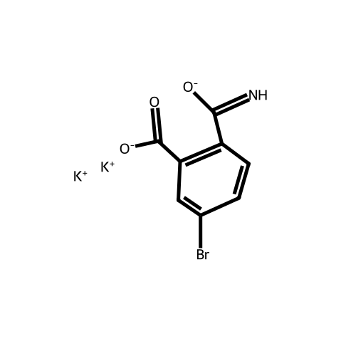 N=C([O-])c1ccc(Br)cc1C(=O)[O-].[K+].[K+]